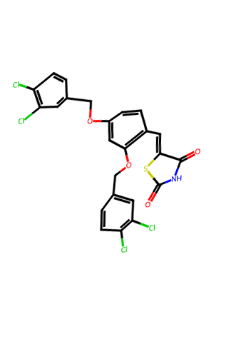 O=C1NC(=O)C(=Cc2ccc(OCc3ccc(Cl)c(Cl)c3)cc2OCc2ccc(Cl)c(Cl)c2)S1